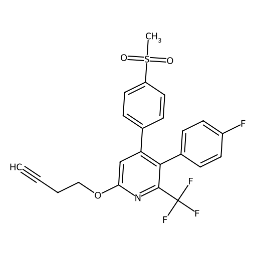 C#CCCOc1cc(-c2ccc(S(C)(=O)=O)cc2)c(-c2ccc(F)cc2)c(C(F)(F)F)n1